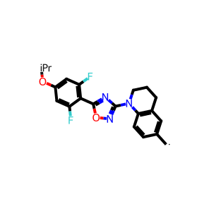 [CH2]c1ccc2c(c1)CCCN2c1noc(-c2c(F)cc(OC(C)C)cc2F)n1